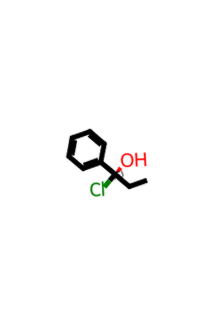 CC[C@](O)(Cl)c1ccccc1